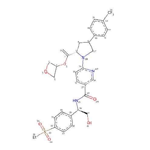 C=C(OC1COC1)[C@@H]1CC(c2ccc(C(F)(F)F)cc2)CN1c1ccc(C(=O)N[C@@H](CO)c2ccc(S(=O)(=O)CC)cc2)cn1